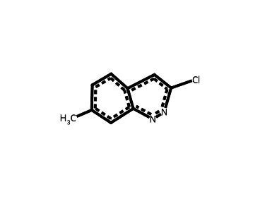 Cc1ccc2cc(Cl)nnc2c1